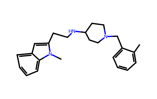 Cc1ccccc1CN1CCC(NCCc2cc3ccccc3n2C)CC1